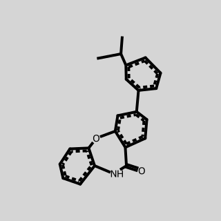 CC(C)c1cccc(-c2ccc3c(c2)Oc2ccccc2NC3=O)c1